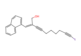 OC/C(C#CCCCCC#CI)=C\c1cccc2ccccc12